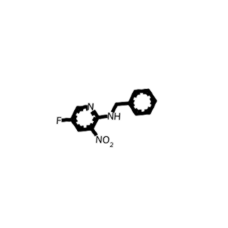 O=[N+]([O-])c1cc(F)cnc1NCc1ccccc1